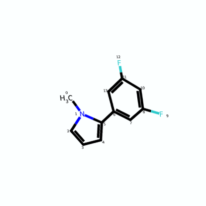 Cn1[c]ccc1-c1cc(F)cc(F)c1